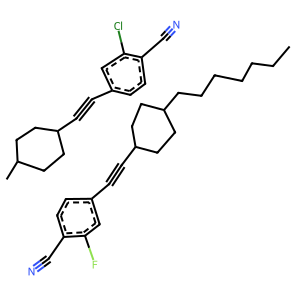 CC1CCC(C#Cc2ccc(C#N)c(Cl)c2)CC1.CCCCCCCC1CCC(C#Cc2ccc(C#N)c(F)c2)CC1